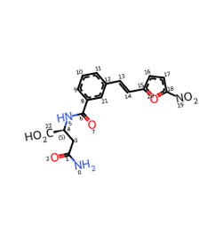 NC(=O)C[C@H](NC(=O)c1cccc(C=Cc2ccc([N+](=O)[O-])o2)c1)C(=O)O